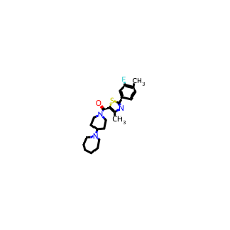 Cc1ccc(-c2nc(C)c(C(=O)N3CCC(N4CCCCCC4)CC3)s2)cc1F